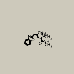 CNC(=O)[C@@H](C[C@H](C)Cc1nc2ccccc2o1)N(C)C